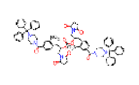 O=C(OC(Cc1ccc(C(=O)N2CCN(C(c3ccccc3)(c3ccccc3)c3ccccc3)CC2)cc1[N+](=O)[O-])CN1C(=O)CCC1=O)OC(Cc1ccc(C(=O)N2CCN(C(c3ccccc3)(c3ccccc3)c3ccccc3)CC2)cc1[N+](=O)[O-])CN1C(=O)CCC1=O